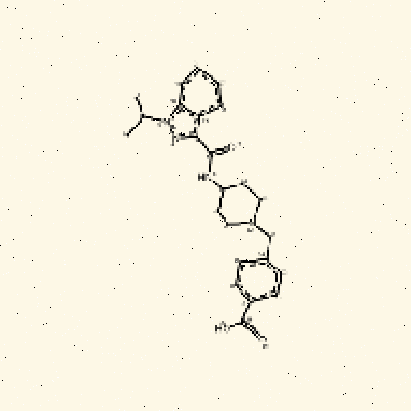 CC(C)n1nc(C(=O)NC2CCN(Cc3ccc(C(=O)O)cc3)CC2)c2ccccc21